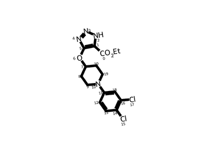 CCOC(=O)c1[nH]nnc1OC1CCN(c2ccc(Cl)c(Cl)c2)CC1